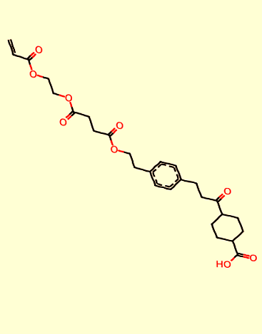 C=CC(=O)OCCOC(=O)CCC(=O)OCCc1ccc(CCC(=O)C2CCC(C(=O)O)CC2)cc1